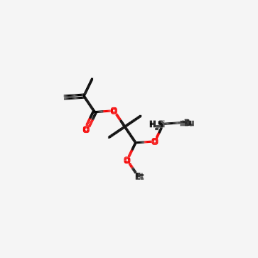 C=C(C)C(=O)OC(C)(C)C(OCC)O[SiH2]CCCC